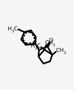 Cc1ccc(C2C(=O)C3(C)CCC2C3(C)C)cc1